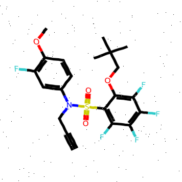 C#CCN(c1ccc(OC)c(F)c1)S(=O)(=O)c1c(F)c(F)c(F)c(F)c1OCC(C)(C)C